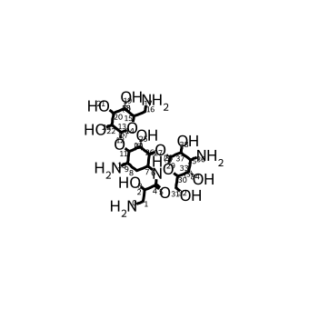 NCC(O)C(=O)NC1CC(N)C(O[C@@H]2OC(CN)[C@@H](O)C(O)C2O)[C@H](O)C1O[C@H]1OC(CO)[C@@H](O)C(N)C1O